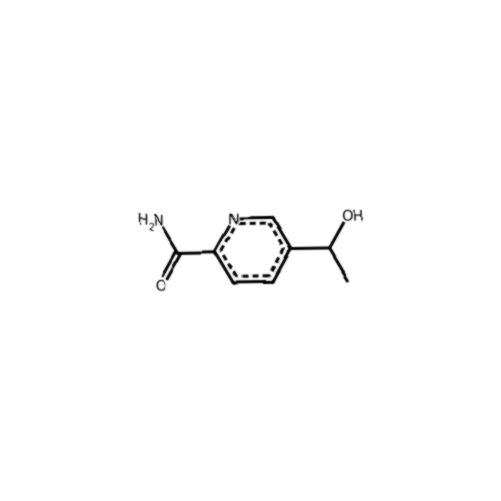 CC(O)c1ccc(C(N)=O)nc1